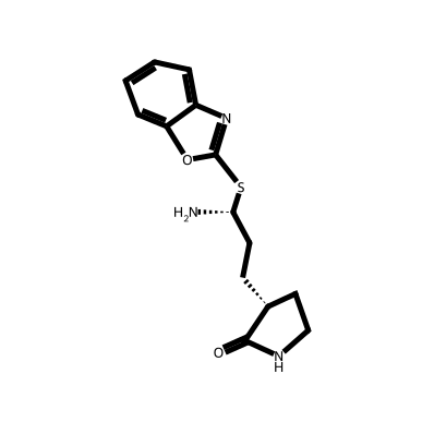 N[C@@H](CC[C@@H]1CCNC1=O)Sc1nc2ccccc2o1